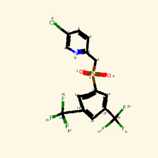 O=S(=O)(Cc1ccc(Cl)cn1)c1cc(C(F)(F)F)cc(C(F)(F)F)c1